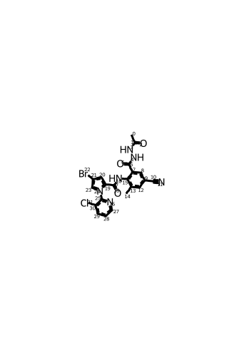 CC(=O)NNC(=O)c1cc(C#N)cc(C)c1NC(=O)c1cc(Br)cn1-c1ncccc1Cl